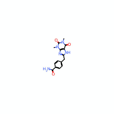 Cn1c(=O)c2[nH]c(Cc3ccc(C(N)=O)cc3)nc2n(C)c1=O